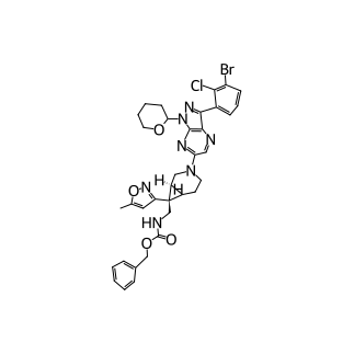 Cc1cc([C@@]2(CNC(=O)OCc3ccccc3)[C@@H]3CCN(c4cnc5c(-c6cccc(Br)c6Cl)nn(C6CCCCO6)c5n4)C[C@@H]32)no1